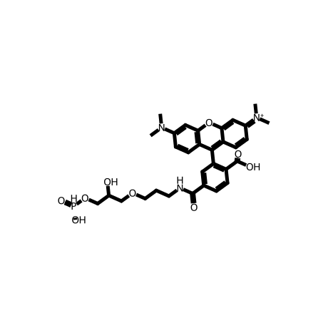 CN(C)c1ccc2c(-c3cc(C(=O)NCCCOCC(O)CO[PH](=O)O)ccc3C(=O)O)c3ccc(=[N+](C)C)cc-3oc2c1